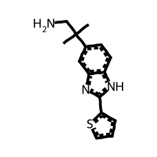 CC(C)(CN)c1ccc2[nH]c(-c3cccs3)nc2c1